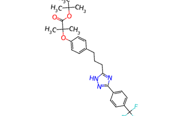 CC(C)(C)OC(=O)C(C)(C)Oc1ccc(CCCc2nc(-c3ccc(C(F)(F)F)cc3)n[nH]2)cc1